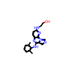 Cc1cccc(C)c1Nc1nc2ccc(NCCO)nc2n2cncc12